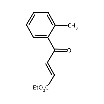 CCOC(=O)/C=C/C(=O)c1ccccc1C